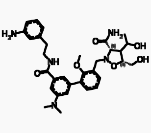 COc1c(CN2O[C@@H](CO)C(C(C)O)[C@H]2C(N)=O)cccc1-c1cc(C(=O)NCCc2cccc(N)c2)cc(N(C)C)c1